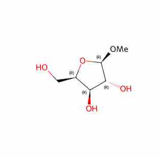 CO[C@@H]1O[C@H](CO)[C@H](O)[C@H]1O